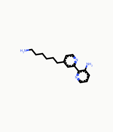 NCCCCCCc1ccnc(-c2ncccc2N)c1